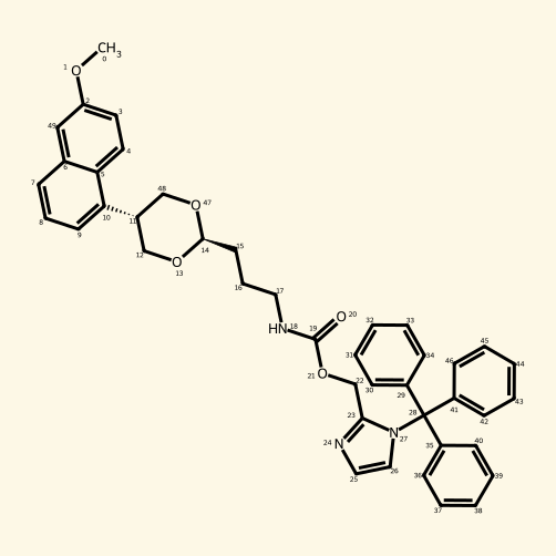 COc1ccc2c(cccc2[C@H]2CO[C@H](CCCNC(=O)OCc3nccn3C(c3ccccc3)(c3ccccc3)c3ccccc3)OC2)c1